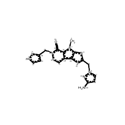 Cn1c2nc(Cn3ccc(N)n3)sc2c2cnn(Cc3cc[nH]n3)c(=O)c21